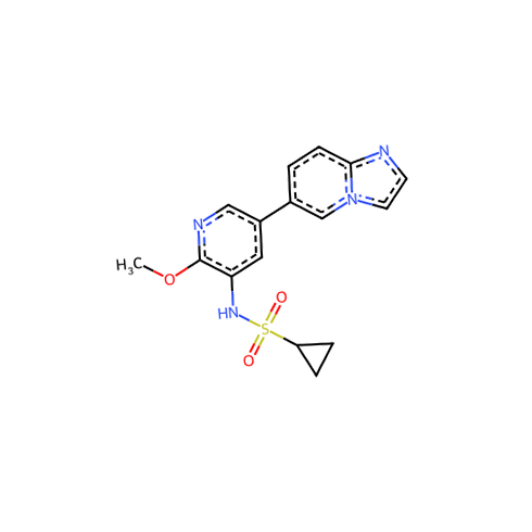 COc1ncc(-c2ccc3nccn3c2)cc1NS(=O)(=O)C1CC1